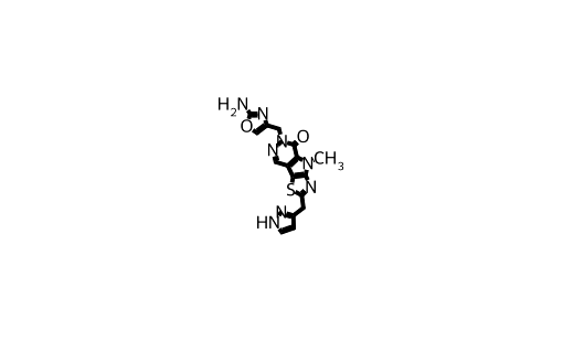 Cn1c2nc(Cc3cc[nH]n3)sc2c2cnn(Cc3coc(N)n3)c(=O)c21